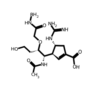 BNC(=O)CO[C@@H](CCO)[C@@H](NC(C)=O)[C@@H]1C=C(C(=O)O)C[C@H]1NC(=N)N